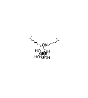 CC(C)CCCCCCCC(O)(CCCCCCCC(C)C)C(CO)(CO)CO.OP(O)OP(O)O